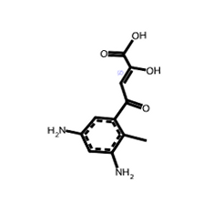 Cc1c(N)cc(N)cc1C(=O)/C=C(\O)C(=O)O